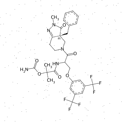 CN1N=C2CCN(C(=O)C(COc3cc(C(F)(F)F)cc(C(F)(F)F)c3)NC(=O)C(C)(C)OC(N)=O)C[C@@]2(Cc2ccccc2)C1=O